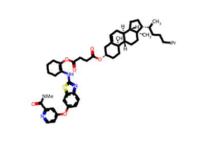 CNC(=O)c1cc(Oc2ccc3nc(NC4=C(OC(=O)CCC(=O)O[C@H]5CC[C@@]6(C)C(=CC[C@H]7[C@@H]8CC[C@H](C(C)CCCC(C)C)[C@@]8(C)CC[C@@H]76)C5)CCCC4)sc3c2)ccn1